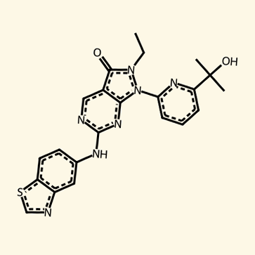 CCn1c(=O)c2cnc(Nc3ccc4scnc4c3)nc2n1-c1cccc(C(C)(C)O)n1